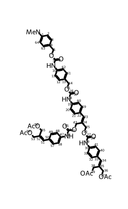 CNc1ccc(COC(=O)Nc2ccc(COC(=O)Nc3ccc(C=C(COC(=O)Nc4ccc(C=C(COC(C)=O)COC(C)=O)cc4)COC(=O)Nc4ccc(C=C(COC(C)=O)COC(C)=O)cc4)cc3)cc2)cc1